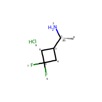 C[C@@H](N)C1CC(F)(F)C1.Cl